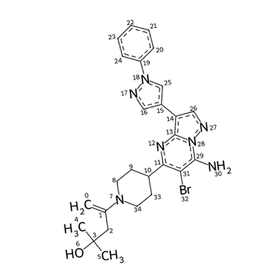 C=C(CC(C)(C)O)N1CCC(c2nc3c(-c4cnn(-c5ccccc5)c4)cnn3c(N)c2Br)CC1